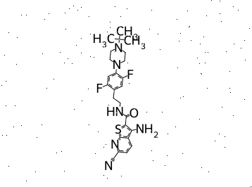 CC(C)(C)N1CCN(c2cc(F)c(CCNC(=O)c3sc4nc(C#N)ccc4c3N)cc2F)CC1